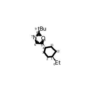 CC[C@H]1CC[C@H](c2cnc(C(C)(C)C)o2)CC1